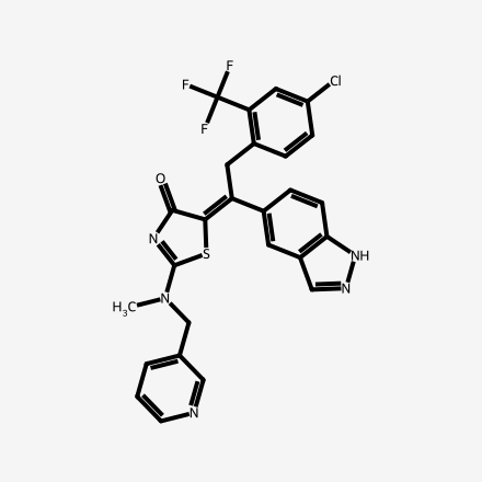 CN(Cc1cccnc1)C1=NC(=O)C(=C(Cc2ccc(Cl)cc2C(F)(F)F)c2ccc3[nH]ncc3c2)S1